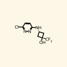 O[C@]1(C(F)(F)F)C[C@H](Nc2ccc(Cl)nn2)C1